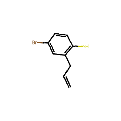 C=CCc1cc(Br)ccc1S